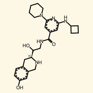 O=C(NCC(O)[C@@H]1Cc2ccc(O)cc2CN1)c1cc(NC2CCC2)nc(N2CCCCC2)c1